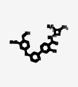 CCc1cc(-c2cc(Oc3ccc(C=N)c(NC)c3)ccn2)ccc1C(=O)N[C@H]1CN(C)[C@@H]1C